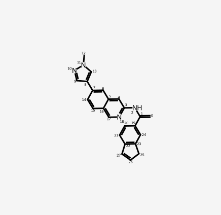 C=C(Nc1cc2cc(-c3cnn(C)c3)ccc2cn1)c1ccc2c(c1)CC=C2